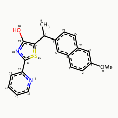 COc1ccc2cc(C(C)c3sc(-c4ccccn4)nc3O)ccc2c1